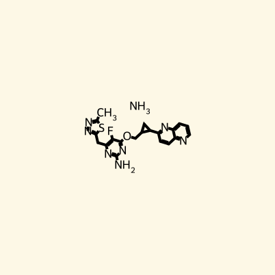 Cc1nnc(Cc2nc(N)nc(OCC3CC3c3ccc4ncccc4n3)c2F)s1.N